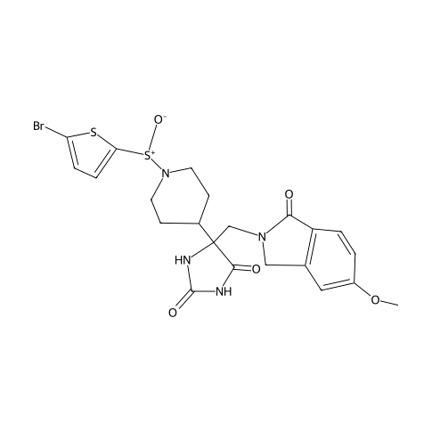 COc1ccc2c(c1)CN(CC1(C3CCN([S+]([O-])c4ccc(Br)s4)CC3)NC(=O)NC1=O)C2=O